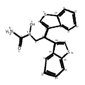 NC(=O)N(O)CC(c1csc2ccccc12)c1csc2ccccc12